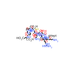 CCCCCCCC(=O)N[C@@H](CCCCN)C(=O)N[C@@H](CCCNC(=N)N)C(=O)N[C@@H](CC(=O)O)C(=O)N[C@@H](CO)C(=O)N[C@@H](CO)C(=O)N[C@@H](CC(N)=O)C(=O)N[C@@H](CO)C(=O)N[C@@H](CS)C(=O)N[C@@H](CC(=O)O)C(=O)N[C@@H](CC(C)C)C(=O)N1CCC[C@H]1C(=O)N[C@@H](CCC(=O)O)C(=O)O